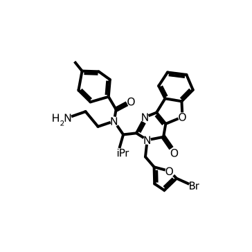 Cc1ccc(C(=O)N(CCN)C(c2nc3c(oc4ccccc43)c(=O)n2Cc2ccc(Br)o2)C(C)C)cc1